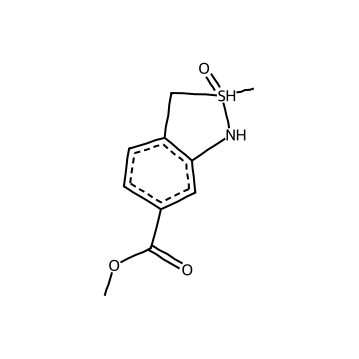 COC(=O)c1ccc2c(c1)N[SH](C)(=O)C2